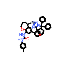 CCC(C)C1CCCOc2c(NC(=O)Nc3ccc(C)cc3)cc(-c3ccccc3-c3nnnn3C(c3ccccc3)(c3ccccc3)c3ccccc3)cc21